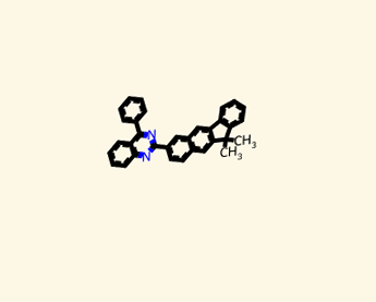 CC1(C)c2ccccc2-c2cc3cc(-c4nc(-c5ccccc5)c5ccccc5n4)ccc3cc21